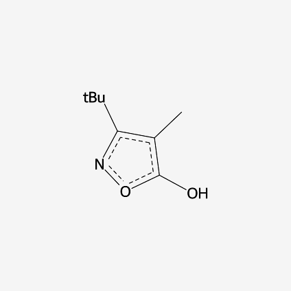 Cc1c(C(C)(C)C)noc1O